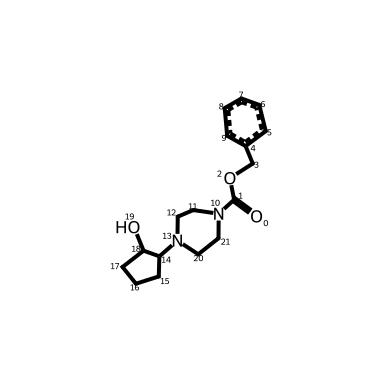 O=C(OCc1ccccc1)N1CCN(C2CCCC2O)CC1